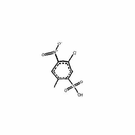 Cc1cc([N+](=O)[O-])c(Cl)cc1S(=O)(=O)O